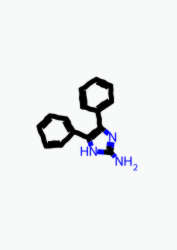 Nc1nc(-c2ccccc2)c(-c2ccccc2)[nH]1